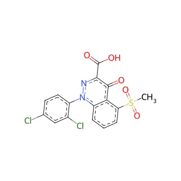 CS(=O)(=O)c1cccc2c1c(=O)c(C(=O)O)nn2-c1ccc(Cl)cc1Cl